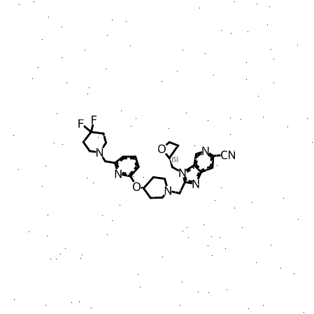 N#Cc1cc2nc(CN3CCC(Oc4cccc(CN5CCC(F)(F)CC5)n4)CC3)n(C[C@@H]3CCO3)c2cn1